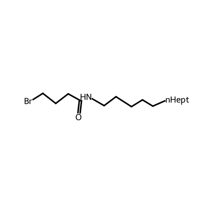 CCCCCCCCCCCCNC(=O)CCCBr